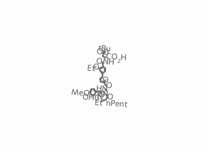 CCCCC[C@@H](C(=O)NCNC(=O)c1ccc(-c2ccc(C(=O)N[C@@H](CC(=O)OC(C)(C)C)C(=O)O)c(OCC)c2)o1)[C@@H](CC)N(C=O)OCc1ccc(OC)cc1